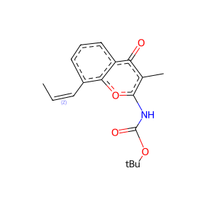 C/C=C\c1cccc2c(=O)c(C)c(NC(=O)OC(C)(C)C)oc12